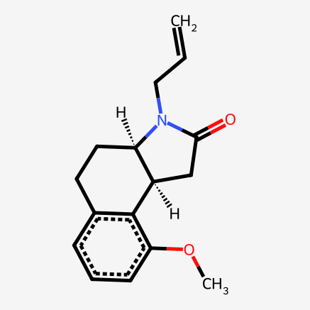 C=CCN1C(=O)C[C@H]2c3c(cccc3OC)CC[C@H]21